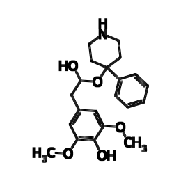 COc1cc(CC(O)OC2(c3ccccc3)CCNCC2)cc(OC)c1O